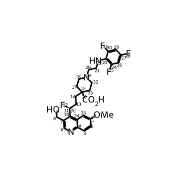 COc1ccc2ncc(CO)c([C@@H](F)CCC3(C(=O)O)CCN(CCNc4c(F)cc(F)cc4F)CC3)c2c1